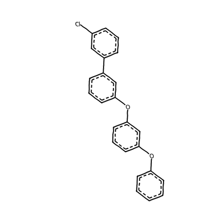 Clc1cccc(-c2cccc(Oc3cccc(Oc4ccccc4)c3)c2)c1